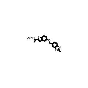 CC(=O)NC(C)c1cc2cc(OCc3ccc4nc(C)oc4c3)ccc2o1